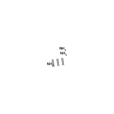 C=C.C=C.C=C.N.N.N